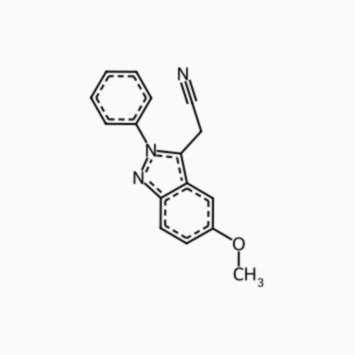 COc1ccc2nn(-c3ccccc3)c(CC#N)c2c1